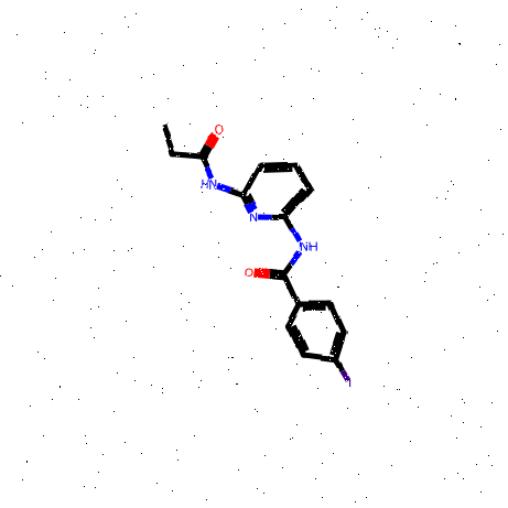 CCC(=O)Nc1cccc(NC(=O)c2ccc(I)cc2)n1